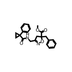 COC(=O)C1(Cc2ccccc2)CC(CNC(=O)C2(c3ccccc3)CC2)=NO1